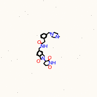 CN1CCN(Cc2cccc(CC(=O)NCc3ccc4c(c3)CN(C3CCC(=O)NC3=O)C4=O)c2)CC1